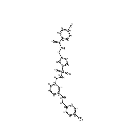 O=C(NCc1ccc(S(=O)(=O)NCc2cccc(NCc3ccc(C(F)(F)F)cc3)c2)s1)c1ccc(Cl)cc1